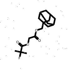 CC(C)(F)C(=O)OCC(=O)OCC12CC3CC(CC(C3)C1)C2